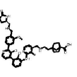 COc1cc(-c2nccc(-c3cccc(Nc4nccc(CNCCC56CCC(C(=O)O)(CC5)C6)c4F)c3Cl)c2Cl)ccc1CNC[C@H]1CCC(=O)N1